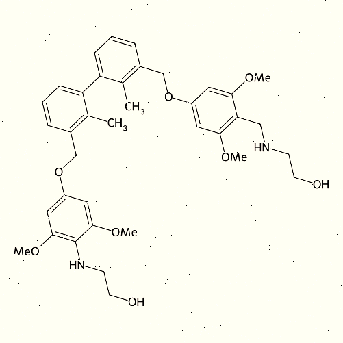 COc1cc(OCc2cccc(-c3cccc(COc4cc(OC)c(NCCO)c(OC)c4)c3C)c2C)cc(OC)c1CNCCO